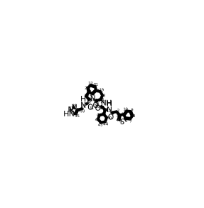 O=C(Cc1csc2ccccc12)N[C@H](C(=O)N[C@H]1CCc2cccc3c2N(C1=O)[C@H](C(=O)NCc1c[nH]nn1)C3)C1CCCCC1